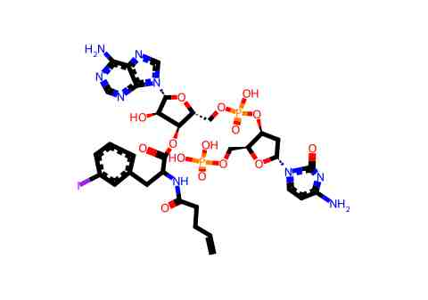 C=CCCC(=O)NC(Cc1cccc(I)c1)C(=O)O[C@H]1[C@@H](O)[C@H](n2cnc3c(N)ncnc32)O[C@@H]1COP(=O)(O)O[C@H]1C[C@H](n2ccc(N)nc2=O)O[C@H]1COP(=O)(O)O